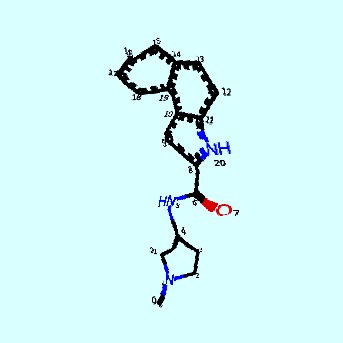 CN1CCC(NC(=O)c2cc3c(ccc4ccccc43)[nH]2)C1